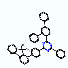 CC1(C)c2ccccc2-c2cccc(-c3ccc(-c4nc(-c5ccccc5)nc(-c5ccc(-c6ccccc6)cc5-c5ccccc5)n4)cc3)c21